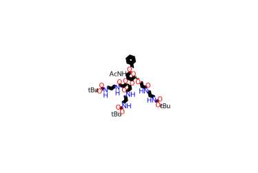 CC(=O)N[C@H]1C(OCc2ccccc2)O[C@H](COCCC(=O)NCCCNC(=O)OC(C)(C)C)[C@@H](OCCC(=O)NCCCNC(=O)OC(C)(C)C)[C@@H]1OCCC(=O)NCCCNC(=O)OC(C)(C)C